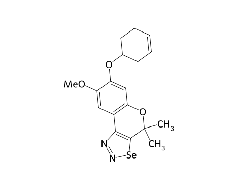 COc1cc2c(cc1OC1CC=CCC1)OC(C)(C)c1[se]nnc1-2